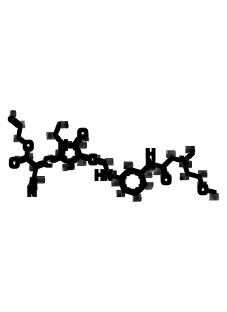 C=CCOC(=O)C(=C=c1sc(=C=CNc2cccc(NC(=O)CN(C)CCOC)c2)c(=O)n1CC)C#N